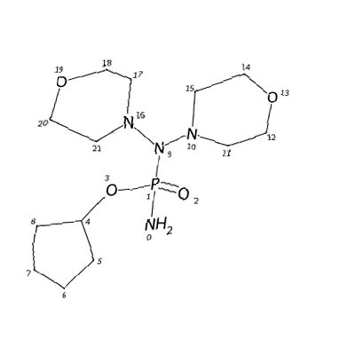 NP(=O)(OC1CCCC1)N(N1CCOCC1)N1CCOCC1